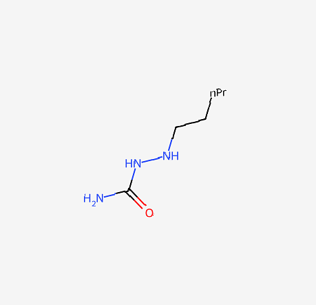 CCCCCNNC(N)=O